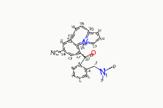 CN(C)Cc1ccccc1C(=O)c1cc(C#N)cc2ccc3cccn3c12